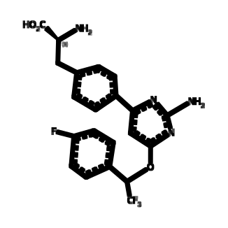 Nc1nc(OC(c2ccc(F)cc2)C(F)(F)F)cc(-c2ccc(C[C@H](N)C(=O)O)cc2)n1